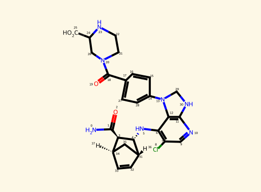 NC(=O)[C@H]1[C@H](Nc2c(Cl)cnc3c2N(c2ccc(C(=O)N4CCNC(C(=O)O)C4)cc2)CN3)[C@@H]2C=C[C@@H]1C2